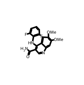 COc1cc2ncc(C(N)=O)c(Nc3c(F)cccc3F)c2cc1OC